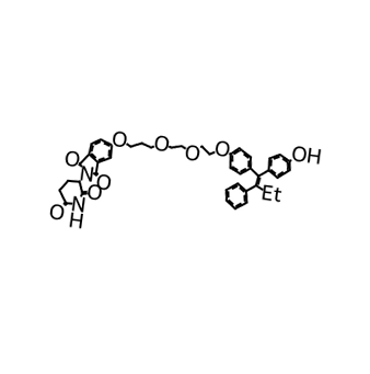 CCC(=C(c1ccc(O)cc1)c1ccc(OCCOCCOCCCOc2ccc3c(c2)C(=O)N(C2CCC(=O)NC2=O)C3=O)cc1)c1ccccc1